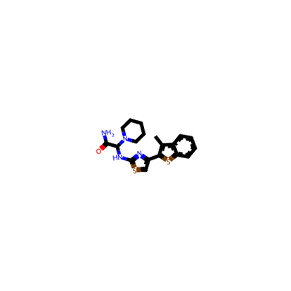 Cc1c(-c2csc(NC(C(N)=O)N3CCCCC3)n2)sc2ccccc12